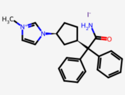 C[n+]1ccn([C@H]2CC[C@@H](C(C(N)=O)(c3ccccc3)c3ccccc3)C2)c1.[I-]